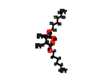 CC(C)CCCCCOC(=O)/C(=C(\C(=O)OCCCCCC(C)C)C(C)C)C(C)C